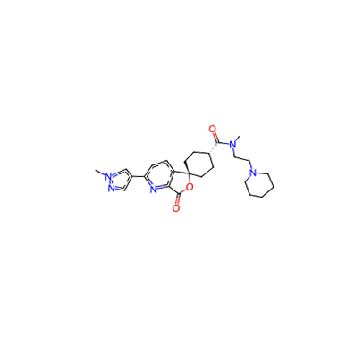 CN(CCN1CCCCC1)C(=O)[C@H]1CC[C@@]2(CC1)OC(=O)c1nc(-c3cnn(C)c3)ccc12